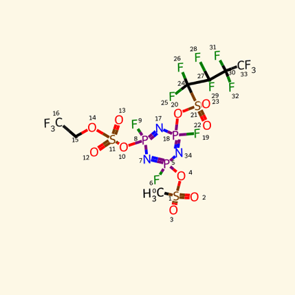 CS(=O)(=O)OP1(F)=NP(F)(OS(=O)(=O)OCC(F)(F)F)=NP(F)(OS(=O)(=O)C(F)(F)C(F)(F)C(F)(F)C(F)(F)F)=N1